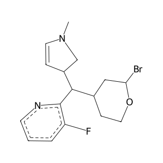 CN1C=CC(C(c2ncccc2F)C2CCOC(Br)C2)C1